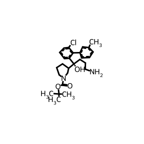 Cc1cccc(-c2c(Cl)cccc2[C@](O)(CCCN)C2CCCN(C(=O)OC(C)(C)C)C2)c1